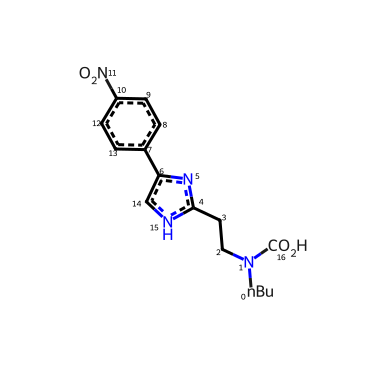 CCCCN(CCc1nc(-c2ccc([N+](=O)[O-])cc2)c[nH]1)C(=O)O